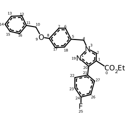 CCOC(=O)c1cn(Cc2ccc(OCc3ccccc3)cc2)nc1-c1ccc(F)cc1